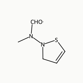 CN([C]=O)N1CC=CS1